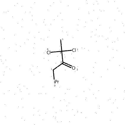 CC(C)CC(=O)C(C)(Cl)Cl